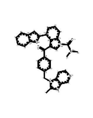 Cc1nc2cnccc2n1Cc1ccc(C(=O)c2cn(C(=O)N(C)C)c3cccc(-c4cc5ccccc5o4)c23)cc1